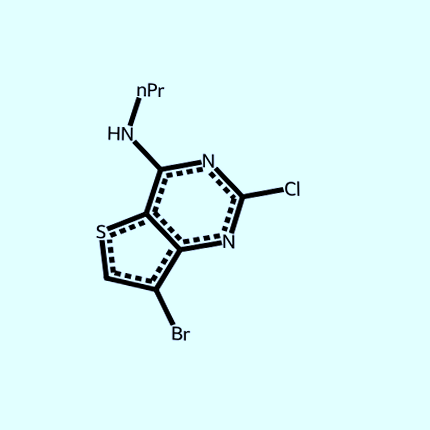 CCCNc1nc(Cl)nc2c(Br)csc12